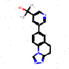 OC(c1cncc(-c2ccc3c(c2)CCc2nncn2-3)c1)(C(F)(F)F)C(F)(F)F